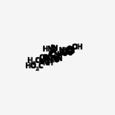 CC(O)C(NC(=O)N[C@@H](Cc1cnc[nH]1)c1nc([C@@H](N)Cc2ccc(O)cc2)no1)C(=O)O